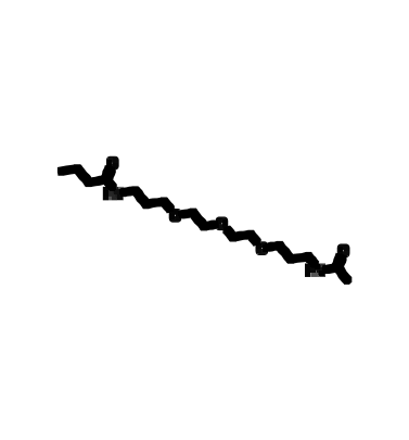 CCCC(=O)NCCCOCCOCCOCCCNC(C)=O